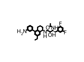 CCc1cc(-c2cccc(N)c2)c2c(c1)[C@H](NC[C@H](O)[C@H](Cc1cc(F)cc(F)c1)NC(C)=O)CCC2